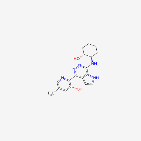 Oc1cc(C(F)(F)F)cnc1-c1nnc(N[C@@H]2CCCC[C@H]2O)c2[nH]ccc12